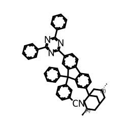 C[C@@H]1CC2C[C@@H](C)CC(c3ccc4c(c3)C(c3ccccc3)(c3cccc(C#N)c3)c3cc(-c5nc(-c6ccccc6)nc(-c6ccccc6)n5)ccc3-4)(C2)C1